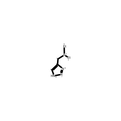 CCN(CC)Cc1c[nH]nn1